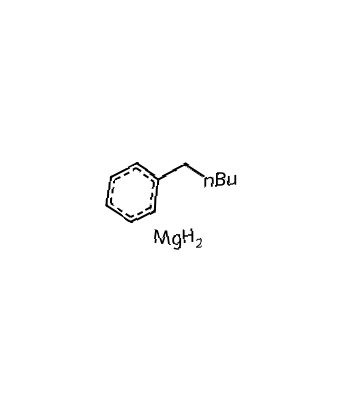 [CH2]CCCCc1ccccc1.[MgH2]